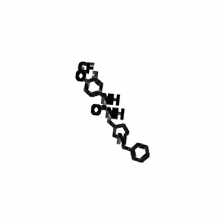 O=C(NCC1CCN(Cc2ccccc2)C1)Nc1ccc(OC(F)(F)F)cc1